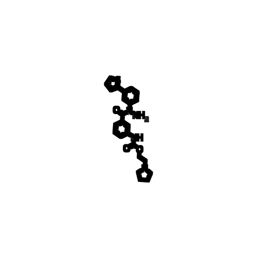 NN(C(=O)c1cccc(NC(=O)OCCN2CCCC2)c1)c1cccc(-c2cccs2)c1